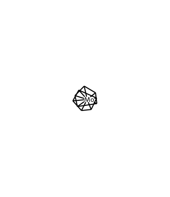 [CH]12[CH]3[CH]4[CH]5[CH]1[Mo]23451678[CH]2[CH]1[CH]6[CH]7[CH]28